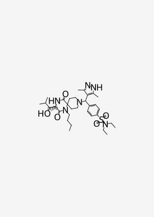 CCCCN1C(=O)[C@@H]([C@H](O)C(C)C)NC(=O)C12CCN(C(c1ccc(S(=O)(=O)N(CC)CC)cc1)c1c(C)n[nH]c1C)CC2